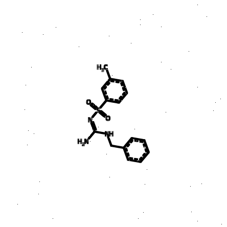 Cc1cccc(S(=O)(=O)N=C(N)NCc2ccccc2)c1